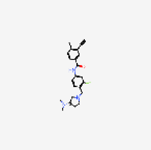 C#Cc1cc(C(=O)Nc2ccc(CN3CC[C@H](N(C)C)C3)c(F)c2)ccc1C